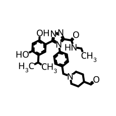 CCNC(=O)c1nnc(-c2cc(C(C)C)c(O)cc2O)n1-c1ccc(CN2CCC(C=O)CC2)cc1